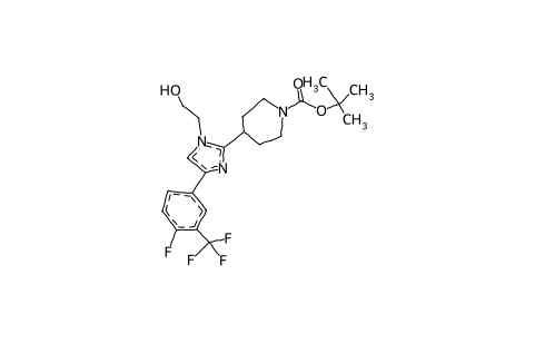 CC(C)(C)OC(=O)N1CCC(c2nc(-c3ccc(F)c(C(F)(F)F)c3)cn2CCO)CC1